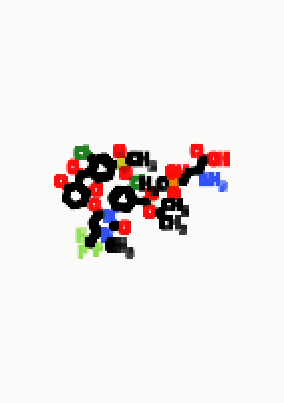 CC(C)OC(=O)c1cc(-n2c(=O)cc(C(F)(F)F)n(C)c2=O)ccc1Cl.CP(=O)(O)CCC(N)C(=O)O.CS(=O)(=O)c1ccc(C(=O)C2C(=O)CCCC2=O)c(Cl)c1